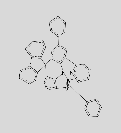 c1ccc(-c2cc3c4c(c2)C2(c5ccccc5-c5ccccc52)c2cccc5c2[N+]4([n+]2ccccc2-3)[n+]2ccc(-c3ccccc3)cc2-5)cc1